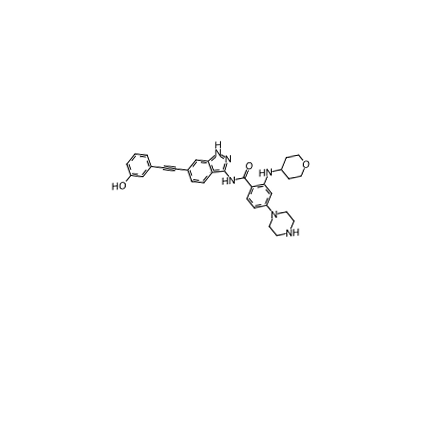 O=C(Nc1n[nH]c2cc(C#Cc3cccc(O)c3)ccc12)c1ccc(N2CCNCC2)cc1NC1CCOCC1